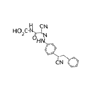 N#CC(=NNc1ccc(C(C#N)Cc2ccccc2)cc1)C(=O)NC(=O)O